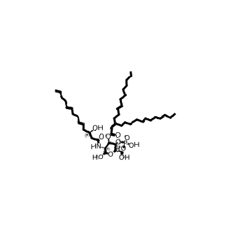 CCCCCCCCCCCCC(CCCCCCCCCCC)CC(=O)O[C@H]1[C@H](OP(=O)(O)O)[C@@H](CO)OC(O)[C@@H]1NC(=O)C[C@H](O)CCCCCCCCCCC